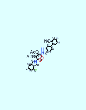 CC(=O)O[C@@H](C(=O)NCc1ccc(-c2ccccc2C#N)cc1)[C@@H](OC(C)=O)C(=O)N1Cc2cccc(F)c2C1